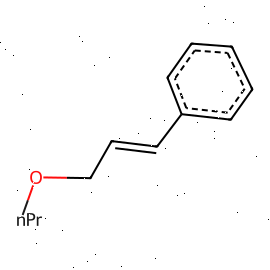 [CH2]CCOCC=Cc1ccccc1